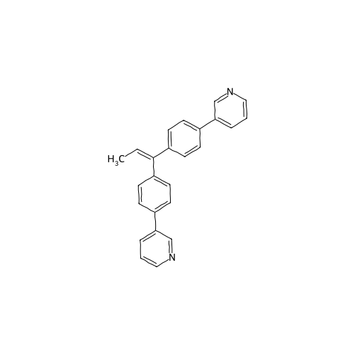 CC=C(c1ccc(-c2cccnc2)cc1)c1ccc(-c2cccnc2)cc1